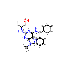 CCC(CO)Nc1nc(NC(c2ccccc2)c2ccccc2)c2ncn(C(C)C)c2n1